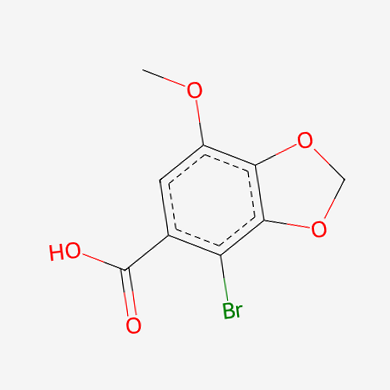 COc1cc(C(=O)O)c(Br)c2c1OCO2